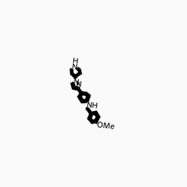 COc1ccc(CNc2ccc(-c3ccn(C4CCNCC4)n3)cc2)cc1